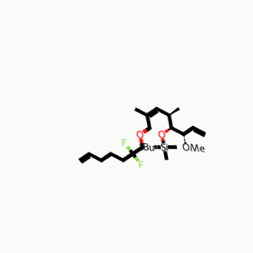 C=CCCCC(F)(F)COC/C(C)=C\[C@@H](C)[C@H](O[Si](C)(C)C(C)(C)C)[C@H](C=C)OC